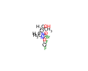 Cc1ccc(C(C)(C)O)cc1-n1c(C)nc(OCc2ccc(F)cc2F)c(Br)c1=O